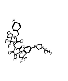 CO[C@@H]1CCN(c2ccc3c(c2)C(F)(F)C[C@]32NC(=O)N(CC(=O)N(Cc3ccc(F)cc3)C3(C(F)(F)F)COC3)C2=O)C1